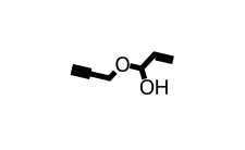 C#CCOC(O)C=C